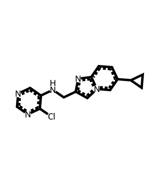 Clc1ncncc1NCc1cn2cc(C3CC3)ccc2n1